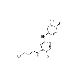 NCCCNc1nc(Nc2ccc(F)c(C(F)(F)F)c2)ncc1Cl